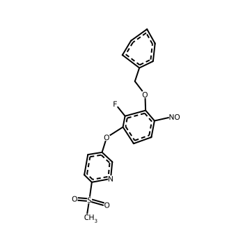 CS(=O)(=O)c1ccc(Oc2ccc(N=O)c(OCc3ccccc3)c2F)cn1